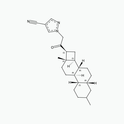 CC1CC[C@H]2[C@H](CC[C@@H]3[C@@H]2CC[C@]2(C)[C@@H](C(=O)Cn4cc(C#N)cn4)C[C@@H]32)C1